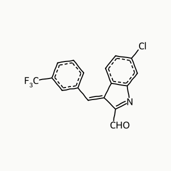 O=CC1=Nc2cc(Cl)ccc2C1=Cc1cccc(C(F)(F)F)c1